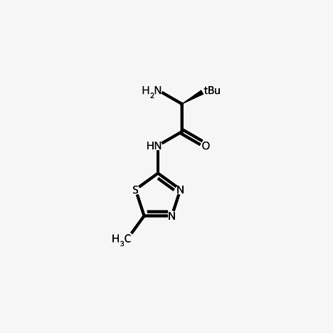 Cc1nnc(NC(=O)[C@@H](N)C(C)(C)C)s1